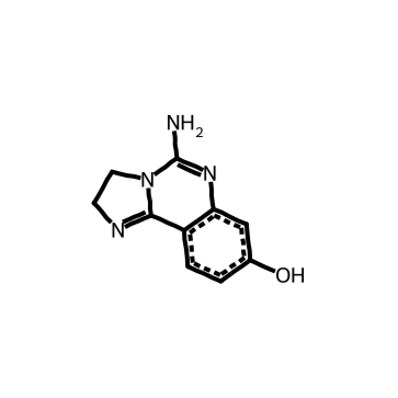 NC1=Nc2cc(O)ccc2C2=NCCN12